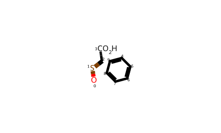 O=S=CC(=O)O.c1ccccc1